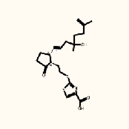 C=C(C)CCC(C)(O)C/C=C/[C@H]1CCC(=O)[C@@H]1CCSc1nc(C(=O)O)cs1